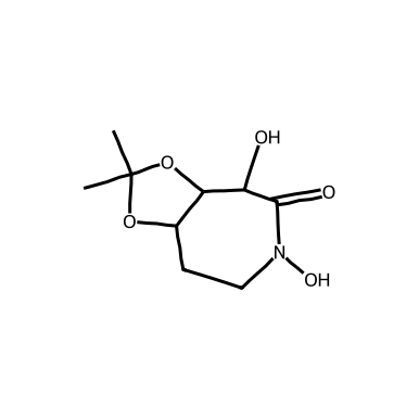 CC1(C)OC2CCN(O)C(=O)C(O)C2O1